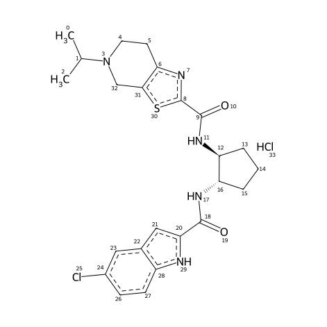 CC(C)N1CCc2nc(C(=O)N[C@H]3CCC[C@@H]3NC(=O)c3cc4cc(Cl)ccc4[nH]3)sc2C1.Cl